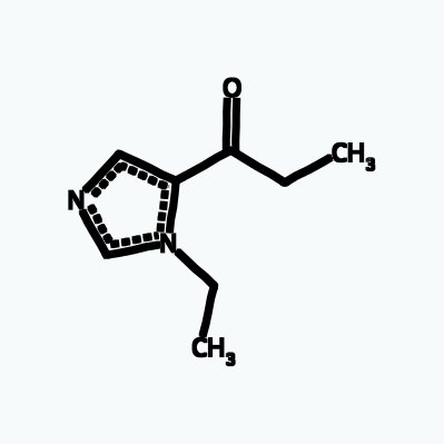 CCC(=O)c1cncn1CC